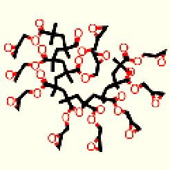 CC(C)(CC(C)(CC(C)(CC(C)(CC(C)(CC(C)(CC(C)(CC(C)(CC(C)(CC(C)(C)C(=O)OCC1CO1)C(=O)OCC1CO1)C(=O)OCC1CO1)C(=O)OCC1CO1)C(=O)OCC1CO1)C(=O)OCC1CO1)C(=O)OCC1CO1)C(=O)OCC1CO1)C(=O)OCC1CO1)C(=O)OCC1CO1